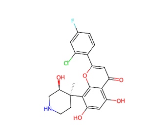 C[C@]1(c2c(O)cc(O)c3c(=O)cc(-c4ccc(F)cc4Cl)oc23)CCNC[C@H]1O